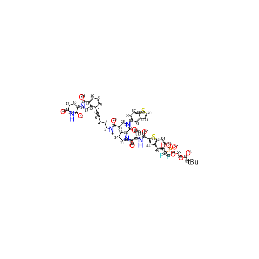 CN(CCCC#Cc1cccc2c1CN(C1CCC(=O)NC1=O)C2=O)C(=O)CCN(C(=O)[C@@H]1CCCN1C(=O)[C@@H](NC(=O)c1cc2cc(C(F)(F)P(=O)(O)OCOC(=O)C(C)(C)C)ccc2s1)C(C)(C)C)c1ccc2sccc2c1